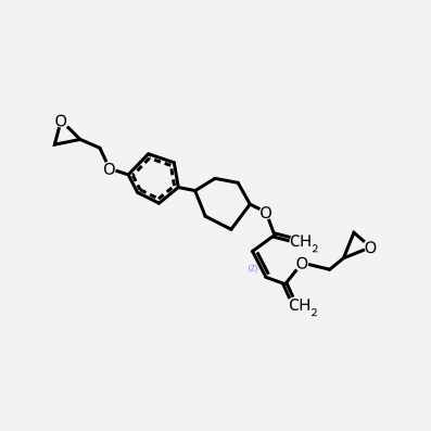 C=C(/C=C\C(=C)OC1CCC(c2ccc(OCC3CO3)cc2)CC1)OCC1CO1